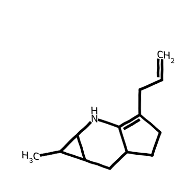 C=CCC1=C2NC3C(C)C3CC2CC1